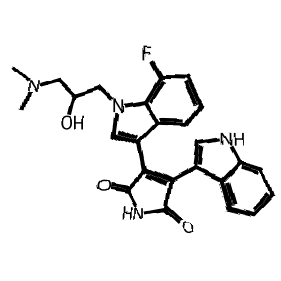 CN(C)CC(O)Cn1cc(C2=C(c3c[nH]c4ccccc34)C(=O)NC2=O)c2cccc(F)c21